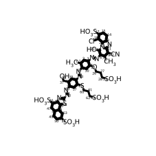 Cc1cc(N=Nc2c(C)c(C#N)c3nc4ccc(S(=O)(=O)O)c(Cl)c4n3c2O)c(OCCCS(=O)(=O)O)cc1N=Nc1cc(CO)c(N=Nc2nc3c(S(=O)(=O)O)cc4ccc(S(=O)(=O)O)cc4c3s2)cc1SCCCS(=O)(=O)O